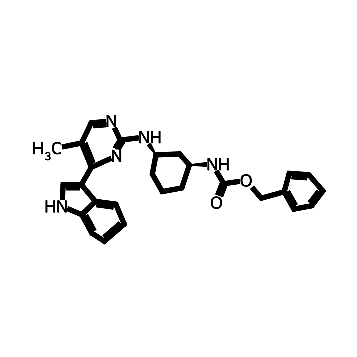 Cc1cnc(N[C@@H]2CCC[C@H](NC(=O)OCc3ccccc3)C2)nc1-c1c[nH]c2ccccc12